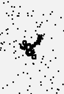 [N-]=[N+]=NCCN1CC(=O)N(CI)c2ccc(Cl)nc21